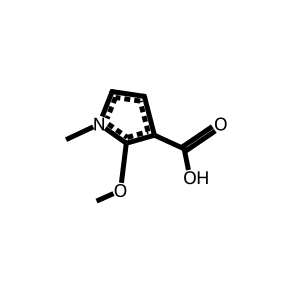 COc1c(C(=O)O)ccn1C